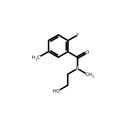 Cc1ccc(F)c(C(=O)N(C)CCO)c1